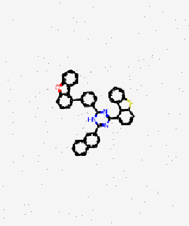 C1=CC2Sc3ccccc3C2C(C2=NC(c3cccc(-c4cccc5oc6ccccc6c45)c3)NC(c3ccc4ccccc4c3)=N2)=C1